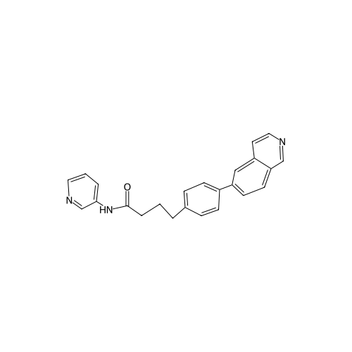 O=C(CCCc1ccc(-c2ccc3cnccc3c2)cc1)Nc1cccnc1